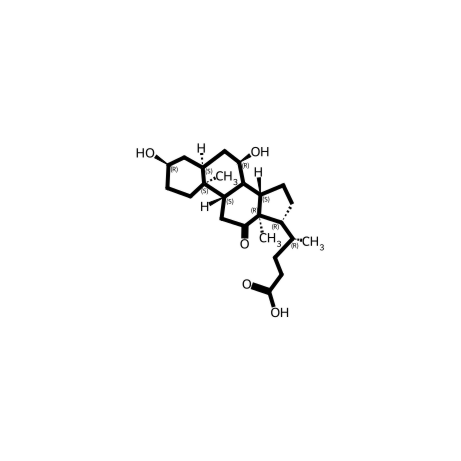 C[C@H](CCC(=O)O)[C@H]1CC[C@H]2C3[C@H](O)C[C@@H]4C[C@H](O)CC[C@]4(C)[C@H]3CC(=O)[C@]12C